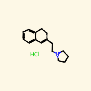 C1=C(CCN2CCCC2)CCc2ccccc21.Cl